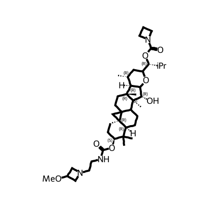 COC1CN(CCNC(=O)O[C@H]2CC[C@]34CC35CC[C@]3(C)[C@@H]6C(OC([C@H](OC(=O)N7CCC7)C(C)C)C[C@H]6C)[C@H](O)[C@@]3(C)C5CC[C@H]4C2(C)C)C1